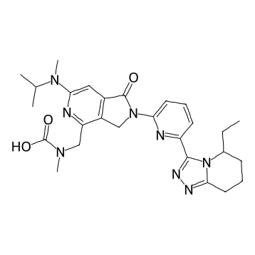 CCC1CCCc2nnc(-c3cccc(N4Cc5c(cc(N(C)C(C)C)nc5CN(C)C(=O)O)C4=O)n3)n21